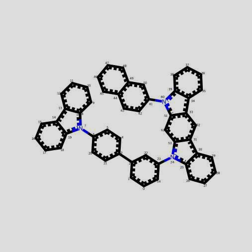 c1cc(-c2ccc(-n3c4ccccc4c4ccccc43)cc2)cc(-n2c3ccccc3c3cc4c5ccccc5n(-c5ccc6ccccc6c5)c4cc32)c1